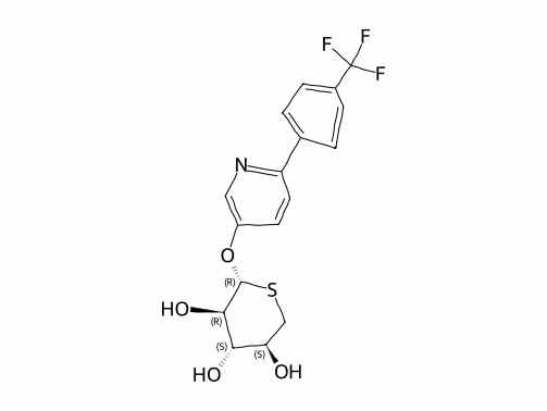 O[C@@H]1[C@@H](O)[C@H](Oc2ccc(-c3ccc(C(F)(F)F)cc3)nc2)SC[C@H]1O